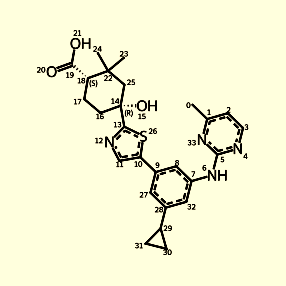 Cc1ccnc(Nc2cc(-c3cnc([C@@]4(O)CC[C@H](C(=O)O)C(C)(C)C4)s3)cc(C3CC3)c2)n1